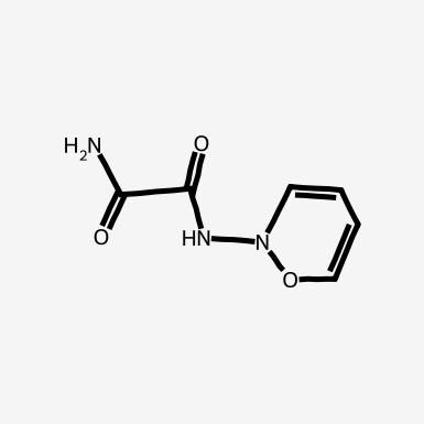 NC(=O)C(=O)NN1C=CC=CO1